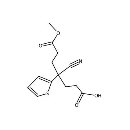 COC(=O)CCC(C#N)(CCC(=O)O)c1cccs1